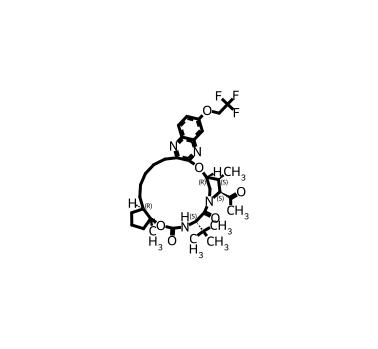 CC(=O)[C@@H]1[C@H](C)[C@@H]2CN1C(=O)[C@H](C(C)(C)C)NC(=O)O[C@]1(C)CCC[C@H]1CCCCCc1nc3ccc(OCC(F)(F)F)cc3nc1O2